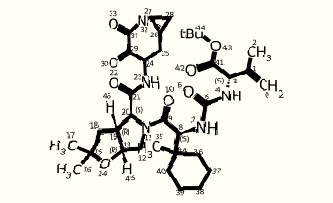 C=C(C)[C@H](NC(=O)N[C@H](C(=O)N1C[C@@H]2OC(C)(C)C[C@@H]2[C@H]1C(=O)NC(CC1CC1)C(=O)C(N)=O)C1(C)CCCCC1)C(=O)OC(C)(C)C